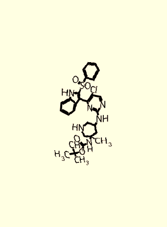 CC(C)(C)OC(=O)N[C@]1(C)CNCC(Nc2ncc(Cl)c(-c3c(S(=O)(=O)c4ccccc4)[nH]c4ccccc34)n2)C1